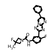 CC1(F)CN(C(=O)Nc2ccc(F)c(-c3nc4ncc(-c5ccccc5)cn4n3)c2)C1